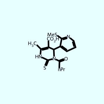 CCCC(=O)N1C(=S)NC(C)=C(C(=O)O)C1c1cccnc1SC